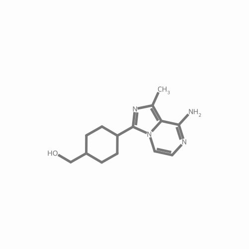 Cc1nc(C2CCC(CO)CC2)n2ccnc(N)c12